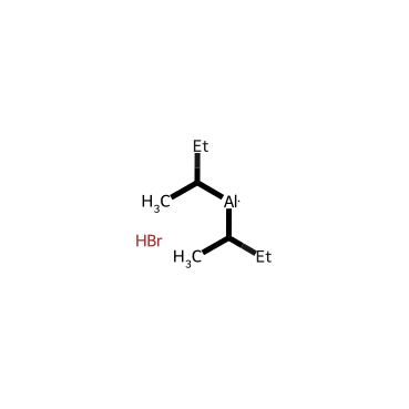 Br.CC[CH](C)[Al][CH](C)CC